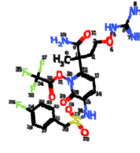 CC(CCONC(=N)N)(C(N)=O)c1ccc(NS(=O)(=O)Cc2ccc(F)cc2)c(=O)n1OC(=O)C(F)(F)F